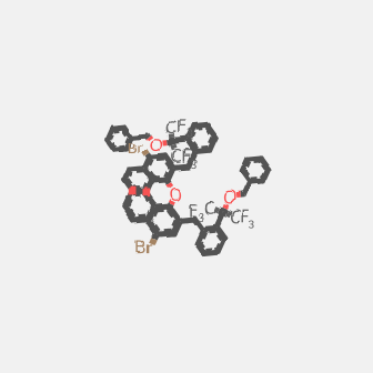 FC(F)(F)C(OCc1ccccc1)(c1ccccc1Cc1cc(Br)c2ccccc2c1Oc1c(Cc2ccccc2C(OCc2ccccc2)(C(F)(F)F)C(F)(F)F)cc(Br)c2ccccc12)C(F)(F)F